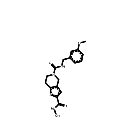 COc1cccc(CNC(=O)N2CCc3sc(C(=O)NO)cc3C2)c1